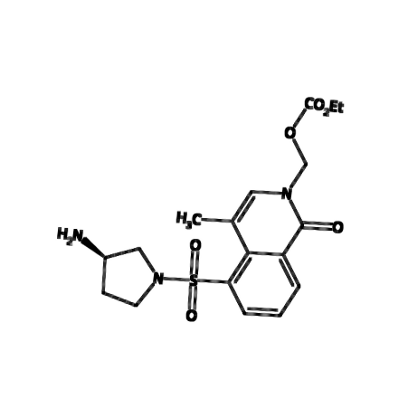 CCOC(=O)OCn1cc(C)c2c(S(=O)(=O)N3CC[C@@H](N)C3)cccc2c1=O